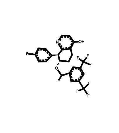 CC(O[C@H]1CCc2c(O)ccnc2[C@@H]1c1ccc(F)cc1)c1cc(C(F)(F)F)cc(C(F)(F)F)c1